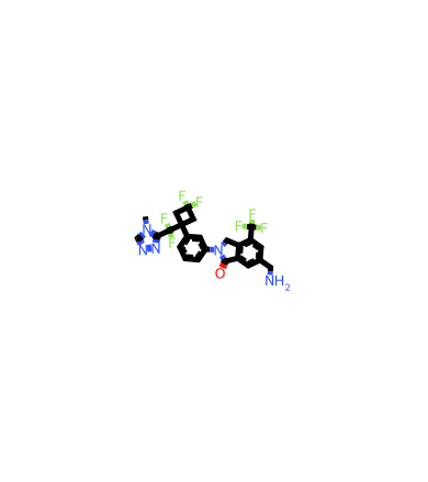 Cn1cnnc1C(F)(F)C1(c2cccc(N3Cc4c(cc(CN)cc4C(F)(F)F)C3=O)c2)CC(F)(F)C1